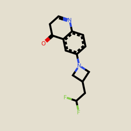 O=C1CC=Nc2ccc(N3CC(CC(F)F)C3)cc21